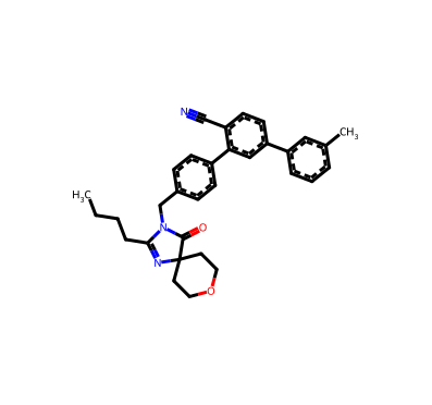 CCCCC1=NC2(CCOCC2)C(=O)N1Cc1ccc(-c2cc(-c3cccc(C)c3)ccc2C#N)cc1